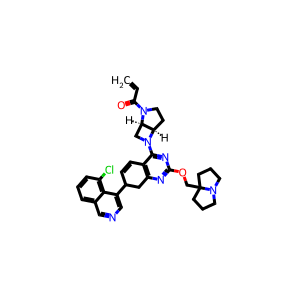 C=CC(=O)N1CC[C@@H]2[C@H]1CN2c1nc(OCC23CCCN2CCC3)nc2c1C=CC(c1cncc3cccc(Cl)c13)C2